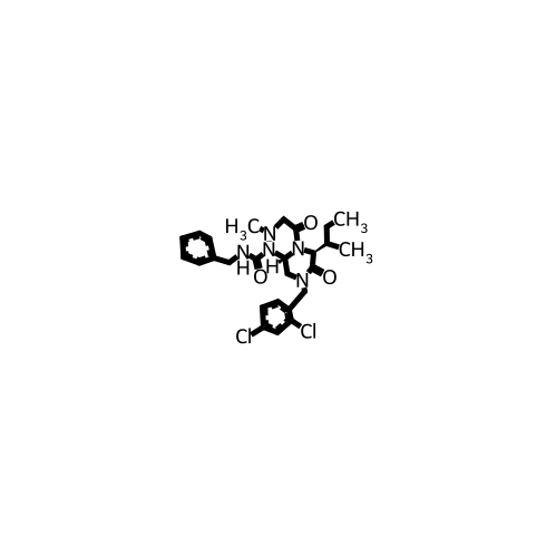 CCC(C)[C@H]1C(=O)N(Cc2ccc(Cl)cc2Cl)C[C@H]2N1C(=O)CN(C)N2C(=O)NCc1ccccc1